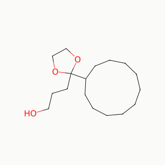 OCCCC1(C2CCCCCCCCCC2)OCCO1